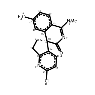 CNC1=NC(=O)[C@]2(CCc3nc(Cl)ccc32)c2cc(C(F)(F)F)ccc21